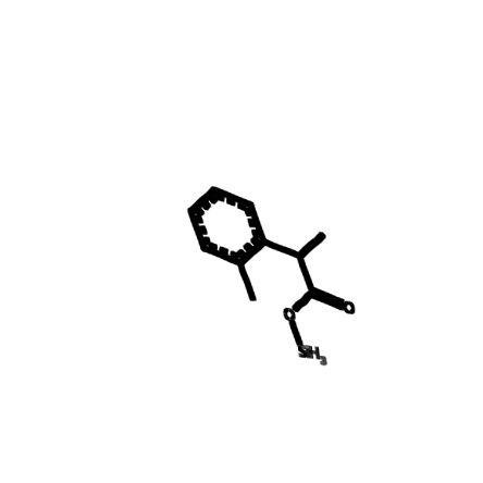 Cc1ccccc1C(C)C(=O)O[SiH3]